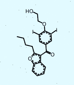 CCCCc1oc2ccccc2c1C(=O)c1cc(I)c(OCCO)c(I)c1